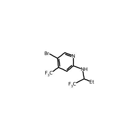 CCC(Nc1cc(C(F)(F)F)c(Br)cn1)C(F)(F)F